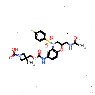 CC(=O)NCC1CN(S(=O)(=O)c2ccc(F)cc2)c2cc(NC(=O)OCC3(C)CN(C(=O)O)C3)ccc2O1